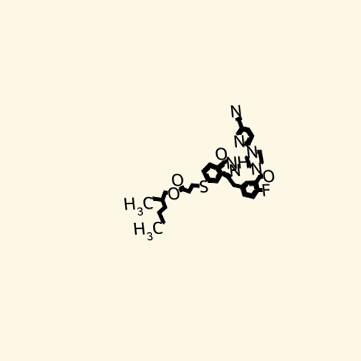 CCCCC(CC)COC(=O)CCSc1ccc2c(=O)[nH]nc(Cc3ccc(F)c(C(=O)N4CCN(c5ccc(C#N)cn5)CC4)c3)c2c1